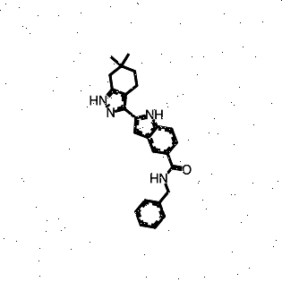 CC1(C)CCc2c(-c3cc4cc(C(=O)NCc5ccccc5)ccc4[nH]3)n[nH]c2C1